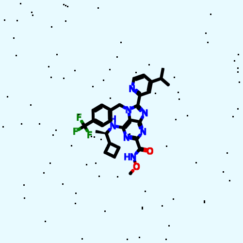 CONC(=O)c1nc(N[C@H](C)C2CCC2)c2c(n1)nc(-c1cc(C(C)C)ccn1)n2Cc1ccc(C(F)(F)F)cc1